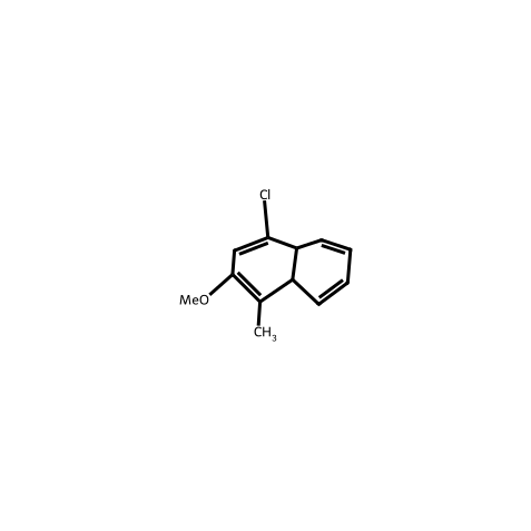 COC1=C(C)C2C=CC=CC2C(Cl)=C1